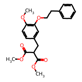 COC(=O)C(Cc1ccc(OC)c(OCCc2ccccc2)c1)C(=O)OC